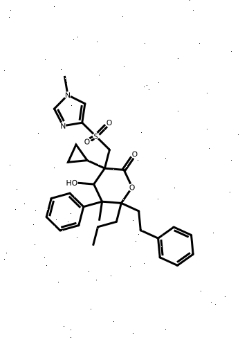 CCCC1(CCc2ccccc2)OC(=O)C(CS(=O)(=O)c2cn(C)cn2)(C2CC2)C(O)C1(C)c1ccccc1